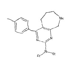 CCN(CC)c1nc2c(c(-c3ccc(C)cc3)n1)CCCNC2